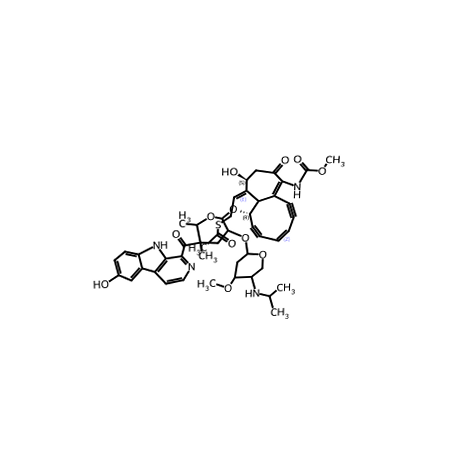 COC(=O)NC1=C2C#C/C=C\C#C[C@H](OC3OC(C)C(C)(C(=O)c4nccc5c4[nH]c4ccc(O)cc45)CC3OC3CC(OC)C(NC(C)C)CO3)C2/C(=C\CSC(C)=O)[C@@H](O)CC1=O